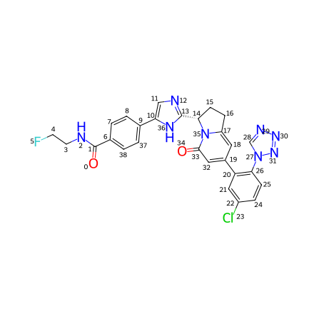 O=C(NCCF)c1ccc(-c2cnc([C@@H]3CCc4cc(-c5cc(Cl)ccc5-n5cnnn5)cc(=O)n43)[nH]2)cc1